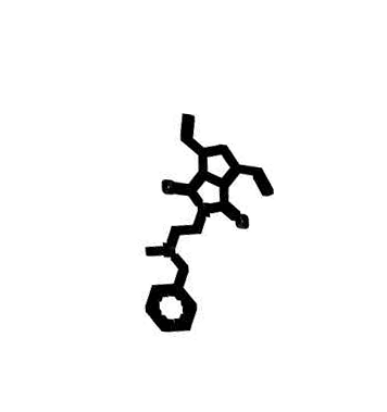 C=CC1CC(C=C)C2C(=O)N(CCN(C)Cc3ccccc3)C(=O)C12